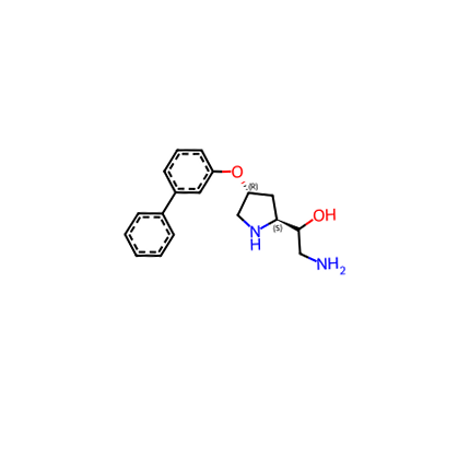 NCC(O)[C@@H]1C[C@@H](Oc2cccc(-c3ccccc3)c2)CN1